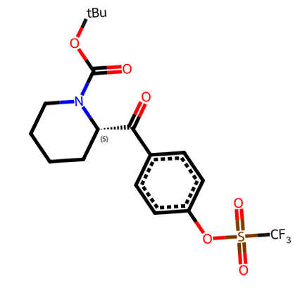 CC(C)(C)OC(=O)N1CCCC[C@H]1C(=O)c1ccc(OS(=O)(=O)C(F)(F)F)cc1